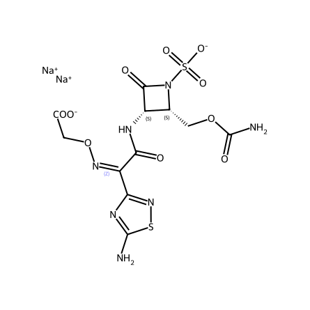 NC(=O)OC[C@@H]1[C@H](NC(=O)/C(=N\OCC(=O)[O-])c2nsc(N)n2)C(=O)N1S(=O)(=O)[O-].[Na+].[Na+]